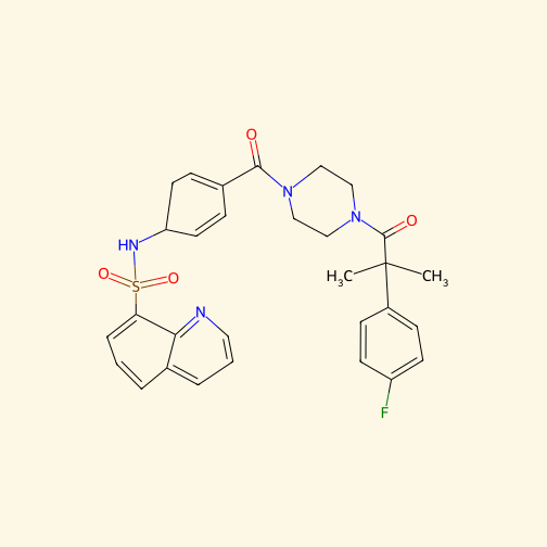 CC(C)(C(=O)N1CCN(C(=O)C2=CCC(NS(=O)(=O)c3cccc4cccnc34)C=C2)CC1)c1ccc(F)cc1